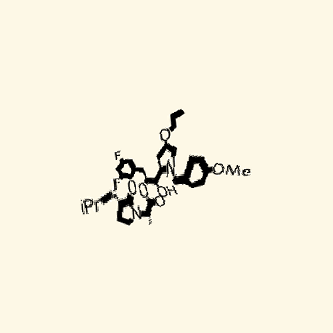 C=CCO[C@@H]1C[C@H]([C@@H](O)[C@H](Cc2cc(F)cc(F)c2)OC(=O)[C@H](C)N2CC[C@H](CC(C)C)C2=O)N(Cc2ccc(OC)cc2)C1